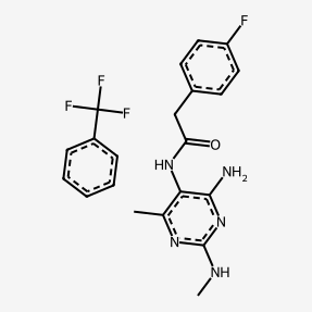 CNc1nc(C)c(NC(=O)Cc2ccc(F)cc2)c(N)n1.FC(F)(F)c1ccccc1